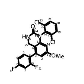 COc1cc(-c2ccc(F)cc2F)c2c(c1)N(c1c(Cl)cccc1Cl)C(=O)NC2